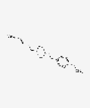 CCc1ccc(CO[C@H]2CC[C@H](CC/C=C/C#N)CC2)cc1